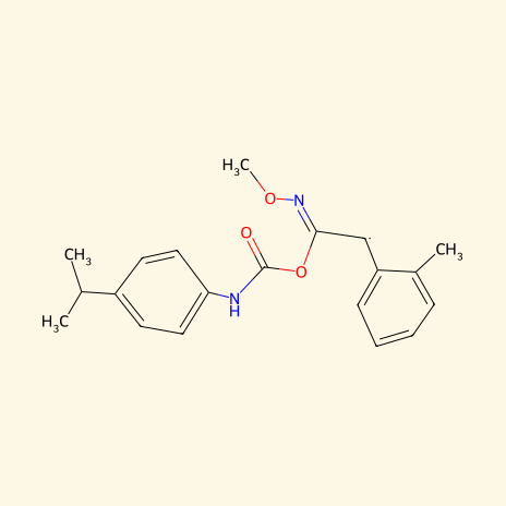 CON=C([CH]c1ccccc1C)OC(=O)Nc1ccc(C(C)C)cc1